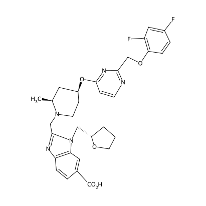 C[C@H]1C[C@@H](Oc2ccnc(COc3ccc(F)cc3F)n2)CCN1Cc1nc2ccc(C(=O)O)cc2n1C[C@@H]1CCCO1